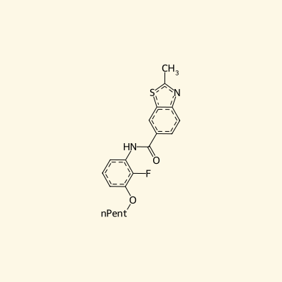 CCCCCOc1cccc(NC(=O)c2ccc3nc(C)sc3c2)c1F